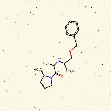 CCOC(=O)C(COCc1ccccc1)NC(C)C(=O)N1CCC[C@H]1C(=O)O